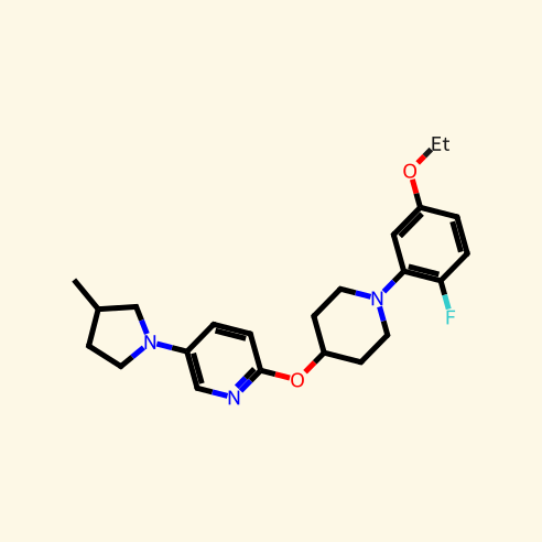 CCOc1ccc(F)c(N2CCC(Oc3ccc(N4CCC(C)C4)cn3)CC2)c1